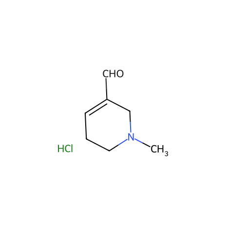 CN1CCC=C(C=O)C1.Cl